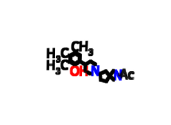 CC(=O)N1CC2(CCC(N3CCC(c4cc(C)c(C)c(C)c4O)CC3)C2)C1